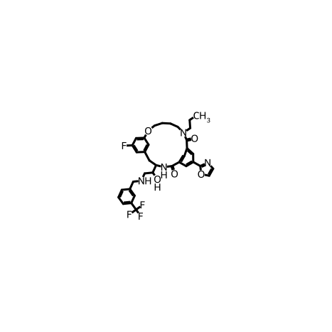 CCCN1CCCCOc2cc(F)cc(c2)CC(C(O)CNCc2cccc(C(F)(F)F)c2)NC(=O)c2cc(cc(-c3ncco3)c2)C1=O